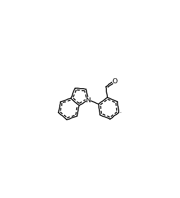 O=Cc1c[c]ccc1-n1ccc2ccccc21